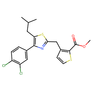 COC(=O)c1sccc1Cc1nc(-c2ccc(Cl)c(Cl)c2)c(CC(C)C)s1